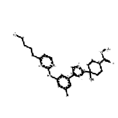 Cc1cc(Nc2nccc(CCCCO)n2)cc(-c2cnc(C3(O)CCC(C(=O)OC(C)(C)C)CC3)s2)c1